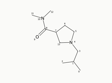 CC(C)CN1CCC(C(=O)N(C)C)C1